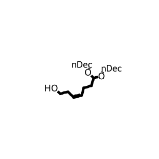 CCCCCCCCCCOC(CC/C=C\CCO)OCCCCCCCCCC